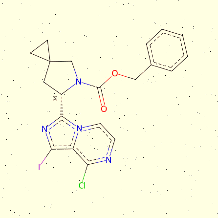 O=C(OCc1ccccc1)N1CC2(CC2)C[C@H]1c1nc(I)c2c(Cl)nccn12